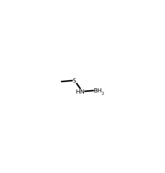 BNSC